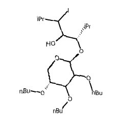 CCCCOC1C(OCCCC)[C@H](OCCCC)CO[C@H]1O[C@@H](C(C)C)C(O)C(I)C(C)C